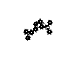 c1ccc(-c2cc(-c3ccc(-n4c5ccccc5c5cc(-c6ccc7c(c6)c6ccccc6n7-c6ccccc6)ccc54)c4c3oc3ccccc34)nc(-c3ccccc3)n2)cc1